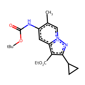 CCOC(=O)c1c(C2CC2)nn2cc(C)c(NC(=O)OC(C)(C)C)cc12